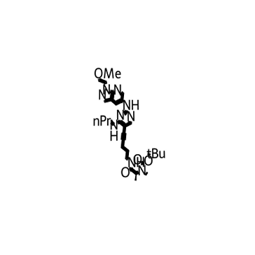 CCCNc1nc(Nc2cnc3c(cnn3CCOC)c2)ncc1C#CCCCNC(=O)[C@H](C)N(C)C(=O)OC(C)(C)C